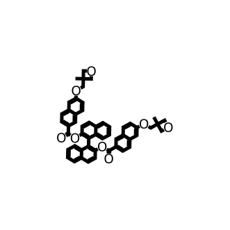 CC1(COc2ccc3cc(C(=O)Oc4ccc5ccccc5c4-c4c(OC(=O)c5ccc6cc(OCC7(C)COC7)ccc6c5)ccc5ccccc45)ccc3c2)COC1